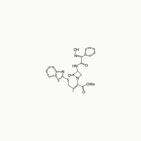 COC(=O)C(=C(C)CSc1nc2ccccc2s1)N1CC(NC(=O)C(=NO)c2ccccc2)C1=O